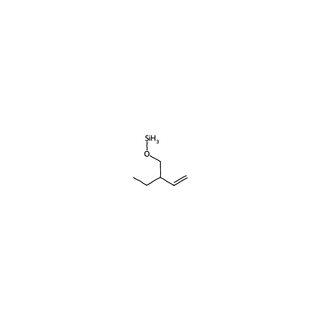 C=CC(CC)CO[SiH3]